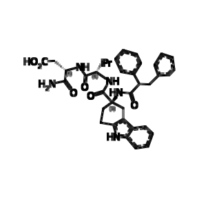 CC(C)[C@H](NC(=O)[C@@]1(NC(=O)C(Cc2ccccc2)c2ccccc2)CCc2[nH]c3ccccc3c2C1)C(=O)N[C@@H](CC(=O)O)C(N)=O